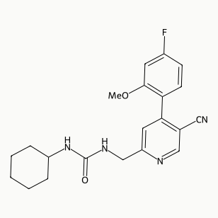 COc1cc(F)ccc1-c1cc(CNC(=O)NC2CCCCC2)ncc1C#N